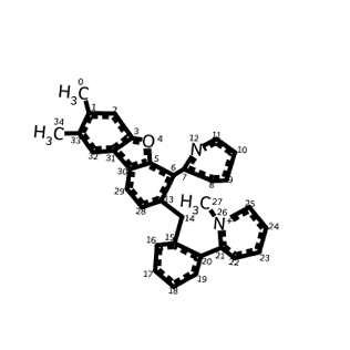 Cc1cc2oc3c(-c4ccccn4)c(Cc4ccccc4-c4cccc[n+]4C)ccc3c2cc1C